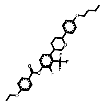 CCCCOc1ccc(C2CCC(c3ccc(OC(=O)c4ccc(OCC)cc4)c(F)c3C(F)(F)F)CO2)cc1